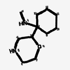 CNC1(C2CNCCO2)CCCCC1